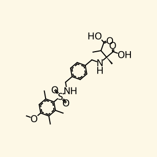 COc1cc(C)c(S(=O)(=O)NCc2ccc(CN[C@@](C)(C(=O)O)C(C)C(=O)O)cc2)c(C)c1C